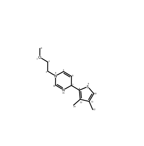 COCCN1C=CC(c2scc(C)c2C)N=C1